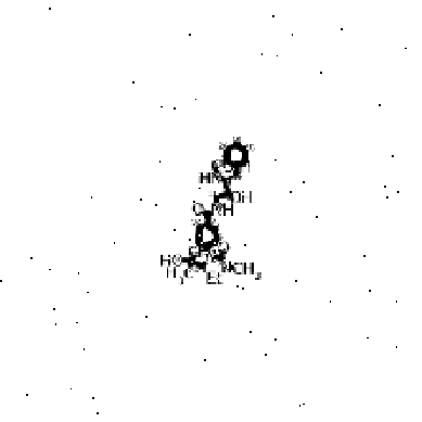 CCN(C)C1Oc2cc(C(=O)NC[C@H](O)[C@H](Cc3ccccc3)NC(=O)O)ccc2N1CC(C)(C)O